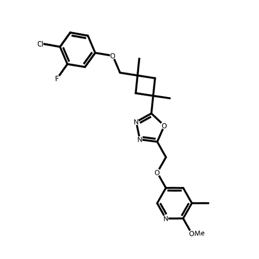 COc1ncc(OCc2nnc(C3(C)CC(C)(COc4ccc(Cl)c(F)c4)C3)o2)cc1C